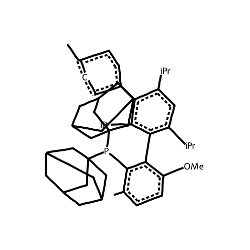 COc1ccc(C)c(P(C23CC4CC(CC(C4)C2)C3)C23CC4CC(CC(C4)C2)C3)c1-c1c(C(C)C)cc(C(C)C)c(-c2ccc(C)cc2)c1C(C)C